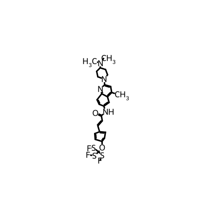 Cc1cc(N2CCC(N(C)C)CC2)nc2ccc(NC(=O)C=Cc3ccc(OC(SF)(SF)SF)cc3)cc12